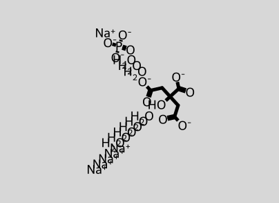 O.O.O.O.O.O.O.O.O.O=C([O-])CC(O)(CC(=O)[O-])C(=O)[O-].O=P([O-])([O-])[O-].[Na+].[Na+].[Na+].[Na+].[Na+].[Na+]